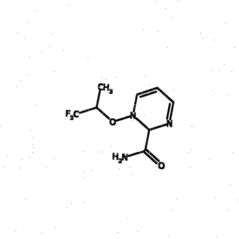 CC(ON1C=CC=NC1C(N)=O)C(F)(F)F